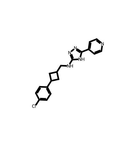 Clc1ccc(C2CC(CNc3nnc(-c4ccncc4)[nH]3)C2)cc1